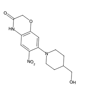 O=C1COc2cc(N3CCC(CO)CC3)c([N+](=O)[O-])cc2N1